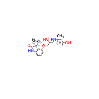 CC(C)(CCO)NCC(O)COc1cccc2c1C(C)(C)C(=O)N2